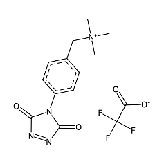 C[N+](C)(C)Cc1ccc(N2C(=O)N=NC2=O)cc1.O=C([O-])C(F)(F)F